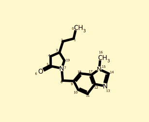 CCCC1CC(=O)N(Cc2ccc3ncn(C)c3c2)C1